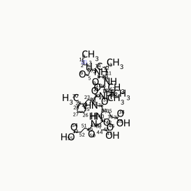 C/C=C\C[C@@H](C=O)NC(=O)[C@H](CC(C)C)NC(=O)[C@@H](NC(=O)[C@H](Cc1ccccc1C)NC(=O)[C@H](CCC(=O)O)NC(=O)[C@H](CC(=O)O)NC(=O)CCC(=O)O)C(C)(C)C